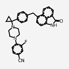 N#Cc1ccc(N2CCN(C3(c4ccc(Cc5ccc6c7c(cccc57)C(=O)N6)cc4)CC3)CC2)c(F)c1